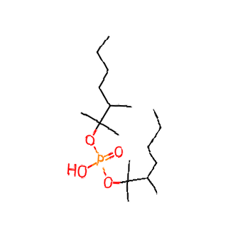 CCCCC(C)C(C)(C)OP(=O)(O)OC(C)(C)C(C)CCCC